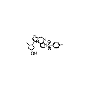 Cc1ccc(S(=O)(=O)n2ccc3c2ncc2ncc([C@H]4C[C@@H](O)C[C@H]4C)n23)cc1